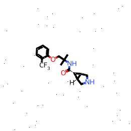 CC(C)(COc1ccccc1C(F)(F)F)NC(=O)[C@@H]1C2CNC[C@H]21